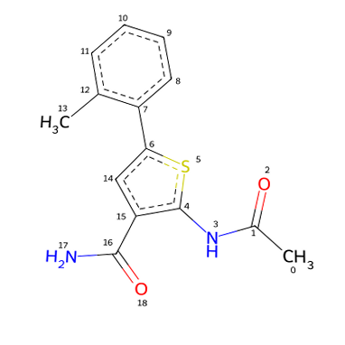 CC(=O)Nc1sc(-c2ccccc2C)cc1C(N)=O